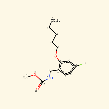 CCOC(=O)CCCCOc1cc(F)ccc1CNC(=O)OC(C)(C)C